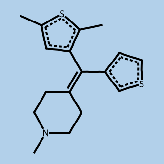 Cc1cc(C(=C2CCN(C)CC2)c2ccsc2)c(C)s1